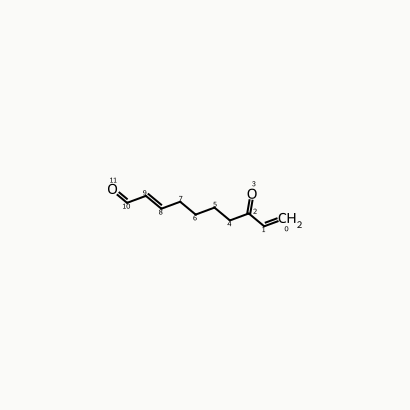 C=CC(=O)CCCCC=CC=O